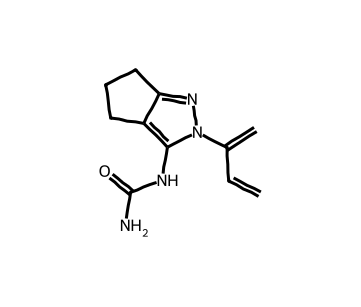 C=CC(=C)n1nc2c(c1NC(N)=O)CCC2